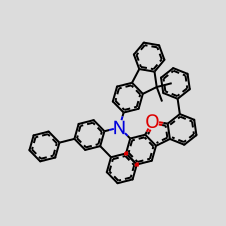 CC1(C)c2ccccc2-c2ccc(N(c3ccc(-c4ccccc4)cc3-c3ccccc3)c3cccc4c3oc3c(-c5ccccc5)cccc34)cc21